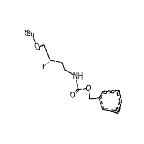 CC(C)(C)OC[C@@H](I)CCNC(=O)OCc1ccccc1